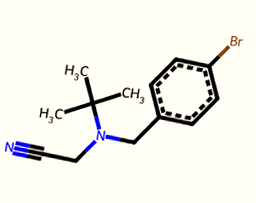 CC(C)(C)N(CC#N)Cc1ccc(Br)cc1